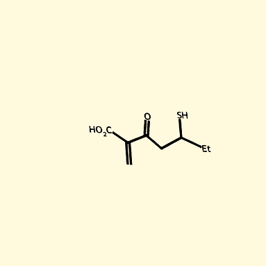 C=C(C(=O)O)C(=O)CC(S)CC